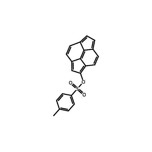 Cc1ccc(S(=O)(=O)OC2=c3ccc4c5c(ccc(c35)=C2)=CC=4)cc1